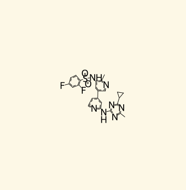 Cc1nc(Nc2cc(-c3cnc(C)c(NS(=O)(=O)c4ccc(F)cc4F)c3)ccn2)nc(C2CC2)n1